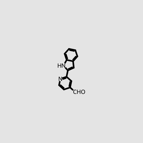 O=Cc1ccnc(-c2cc3ccccc3[nH]2)c1